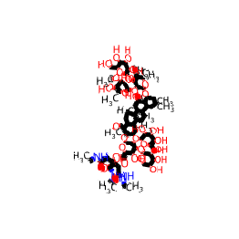 CCNC(=O)CC(CC(=O)NCC)(OC(=O)C1OC(O[C@H]2CC[C@@]3(C)C(CC[C@]4(C)C3CC=C3C5CC(C)(C)CC[C@]5(C(=O)OC5OC(C)C(C)C(O)C5OC5OC(C)C(O)C(OC)C5OC5OC(CO)C(O)C(O)C5O)[C@H](O)C[C@]34C)[C@]2(C)C=O)C(OC2OC(CO)C(O)C(O)C2O)C(OC2OCC(O)C(O)C2O)C1O)C(=O)NCC